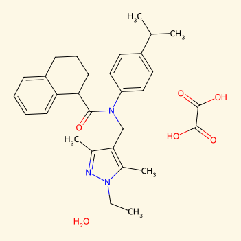 CCn1nc(C)c(CN(C(=O)C2CCCc3ccccc32)c2ccc(C(C)C)cc2)c1C.O.O=C(O)C(=O)O